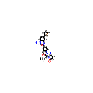 CC(C(=O)Nc1ccc(C(=O)Nc2cc(-c3cccs3)ccc2N)cc1)N1CCCC1=O